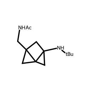 CC(=O)NCC12CC3(NC(C)(C)C)CC13C2